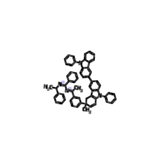 C/C(=N\C(=N/C(C)c1ccccc1)c1ccccc1)c1cccc(C2(C)C=Cc3c(c4cc(-c5ccc6c(c5)c5ccccc5n6-c5ccccc5)ccc4n3-c3ccccc3)C2)c1